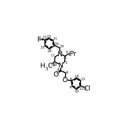 CC(C)C1CN(C(=O)COc2ccc(Cl)cc2)C(C)CN1Cc1ccc(F)cc1